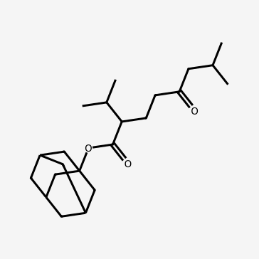 CC(C)CC(=O)CCC(C(=O)OC12CC3CC(CC(C3)C1)C2)C(C)C